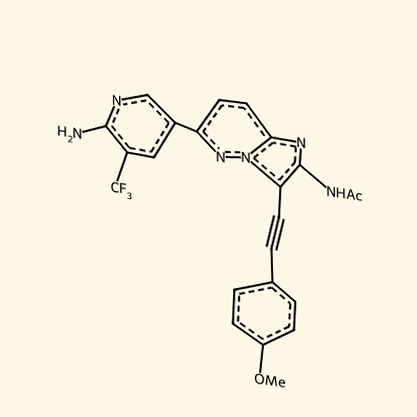 COc1ccc(C#Cc2c(NC(C)=O)nc3ccc(-c4cnc(N)c(C(F)(F)F)c4)nn23)cc1